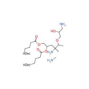 CCCCCCCCCCCCCC(=O)OCC(CC(C)(N)C(C)OCC(O)CN)OC(=O)CCCCCCCCCCCCC.CN